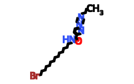 CCCCN1CCN(c2ccc(C(=O)NCCCCCCCCCCCCCCCBr)cn2)CC1